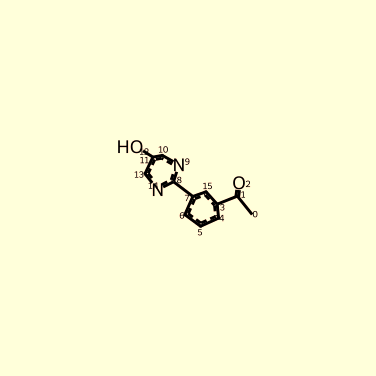 CC(=O)c1cccc(-c2ncc(O)cn2)c1